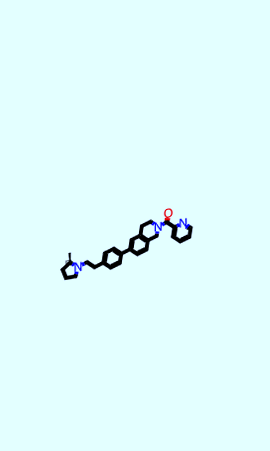 C[C@@H]1CCCN1CCc1ccc(-c2ccc3c(c2)CCN(C(=O)c2ccccn2)C3)cc1